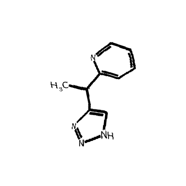 C[C](c1ccccn1)c1c[nH]nn1